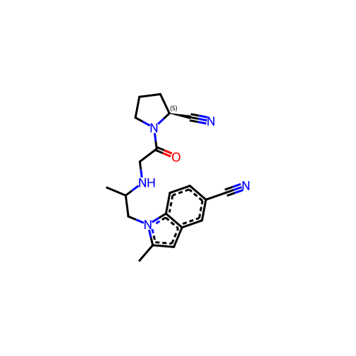 Cc1cc2cc(C#N)ccc2n1CC(C)NCC(=O)N1CCC[C@H]1C#N